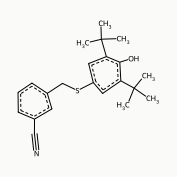 CC(C)(C)c1cc(SCc2cccc(C#N)c2)cc(C(C)(C)C)c1O